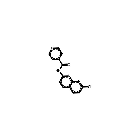 O=C(Nc1ccc2ccc(Cl)nc2n1)c1ccncc1